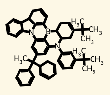 CC(C)(C)C1=CCC2B3C4=C5C(CC=C4)c4ccccc4N5c4cc(C(C)(c5ccccc5)C5C=CC=CC5)cc(c43)N(c3cccc(C(C)(C)C)c3)C2C1